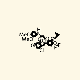 COc1ccc(NC(=O)CC(=O)OC(Cc2c(Cl)c[n+]([O-])cc2Cl)c2ccc(OC(F)F)c(OCC3CC3)c2)cc1OC